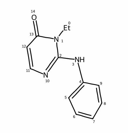 CCn1c(Nc2ccccc2)nccc1=O